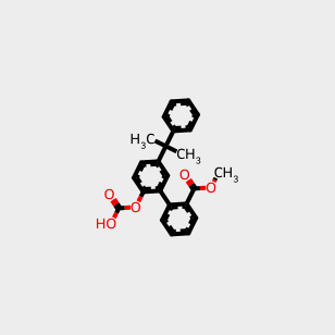 COC(=O)c1ccccc1-c1cc(C(C)(C)c2ccccc2)ccc1OC(=O)O